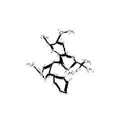 COc1cc2nc(C(C)(C)C)nc(-c3cn(C)nc3-c3ccccc3)c2nc1Cl